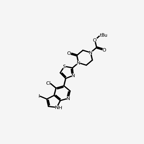 CC(C)(C)OC(=O)N1CCN(c2nc(-c3cnc4[nH]cc(I)c4c3Cl)cs2)C(=O)C1